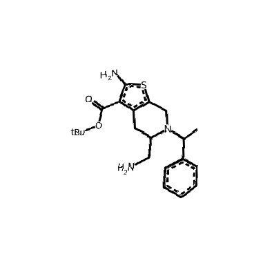 CC(c1ccccc1)N1Cc2sc(N)c(C(=O)OC(C)(C)C)c2CC1CN